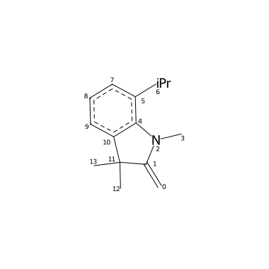 C=C1N(C)c2c(C(C)C)cccc2C1(C)C